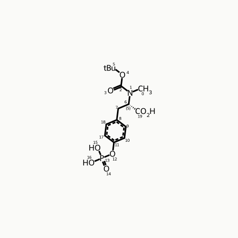 CN(C(=O)OC(C)(C)C)[C@@H](Cc1ccc(OP(=O)(O)O)cc1)C(=O)O